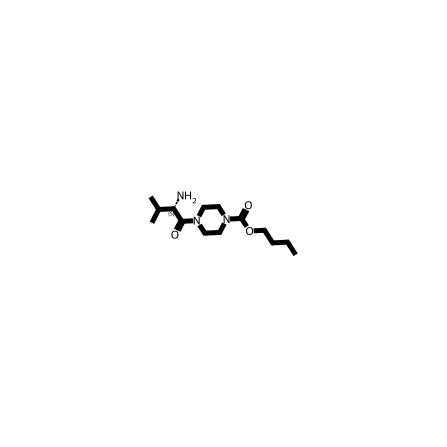 CCCCOC(=O)N1CCN(C(=O)[C@@H](N)C(C)C)CC1